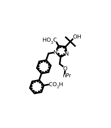 CCCOCc1nc(C(C)(C)O)c(C(=O)O)n1Cc1ccc(-c2ccccc2C(=O)O)cc1